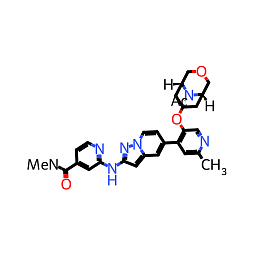 CNC(=O)c1ccnc(Nc2cc3cc(-c4cc(C)ncc4OC4C[C@H]5COC[C@@H](C4)N5C(C)=O)ccn3n2)c1